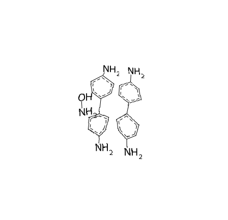 NO.Nc1ccc(-c2ccc(N)cc2)cc1.Nc1ccc(-c2ccc(N)cc2)cc1